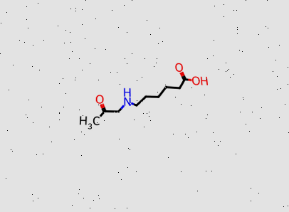 CC(=O)CNCCCCCC(=O)O